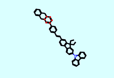 CCC1(CC)c2cc(/C=C/c3ccc(C4=CC5C(C=C4)C4c6ccccc6C5C5C=CCCC54)cc3)ccc2-c2ccc(-n3c4ccccc4c4ccccc43)cc21